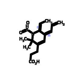 C=C/C=C1/C=C(CCC(=O)O)C(C)(C)N([SH](=O)=O)/C1=C/C